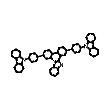 c1ccc2c(c1)nc1c3cc(-c4ccc(-n5c6ccccc6c6ccccc65)cc4)ccc3c3ccc(-c4ccc(-n5c6ccccc6c6ccccc65)cc4)cc3n21